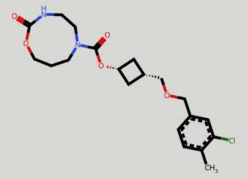 Cc1ccc(COC[C@H]2C[C@@H](OC(=O)N3CCCOC(=O)NCC3)C2)cc1Cl